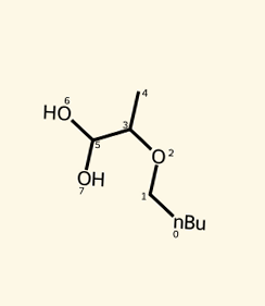 CCCCCOC(C)C(O)O